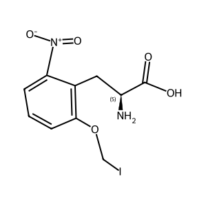 N[C@@H](Cc1c(OCI)cccc1[N+](=O)[O-])C(=O)O